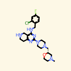 CN1CCO[C@H](CN2CCN(c3nc4c(c(NCc5ccc(F)cc5Cl)n3)CNCC4)CC2)C1